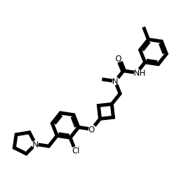 Cc1cccc(NC(=O)N(C)CC2CC(Oc3cccc(CN4CCCC4)c3Cl)C2)c1